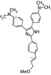 COC/C=C/c1ccc(-c2nc(-c3ccc(N(C)C)cc3)c(-c3ccc(N(C)C)cc3)[nH]2)cc1